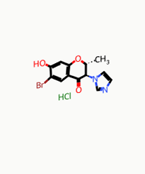 C[C@H]1Oc2cc(O)c(Br)cc2C(=O)[C@@H]1n1ccnc1.Cl